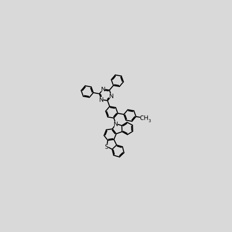 Cc1ccc(-c2cc(-c3nc(-c4ccccc4)nc(-c4ccccc4)n3)ccc2-n2c3ccccc3c3c4c(ccc32)sc2ccccc24)cc1